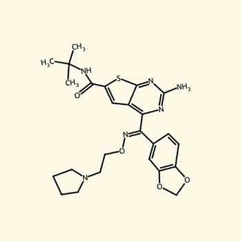 CC(C)(C)NC(=O)c1cc2c(C(=NOCCN3CCCC3)c3ccc4c(c3)OCO4)nc(N)nc2s1